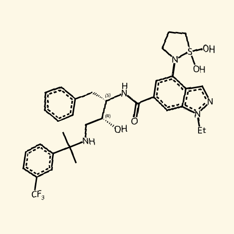 CCn1ncc2c(N3CCCS3(O)O)cc(C(=O)N[C@@H](Cc3ccccc3)[C@H](O)CNC(C)(C)c3cccc(C(F)(F)F)c3)cc21